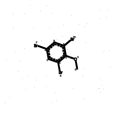 COc1c(Br)cc(Br)cc1Br